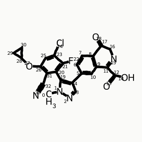 Cn1ncc(-c2ccc3c(c2)C(C(=O)O)=NCC3=O)c1-c1c(F)c(Cl)cc(OC2CC2)c1C#N